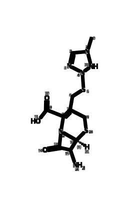 CN1C=NN(SCC2=C(C(=O)O)N3C(=O)C(N)[C@@H]3SC2)N1